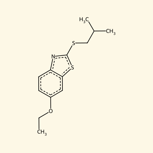 CCOc1ccc2nc(SCC(C)C)sc2c1